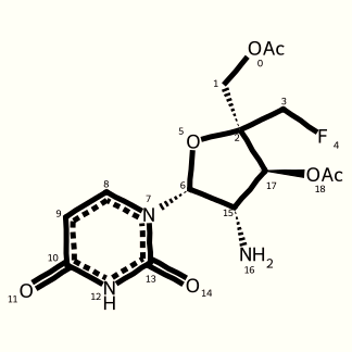 CC(=O)OC[C@@]1(CF)O[C@@H](n2ccc(=O)[nH]c2=O)[C@@H](N)[C@@H]1OC(C)=O